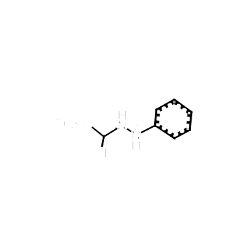 CCOC(=O)C(Cl)NNc1ccccc1